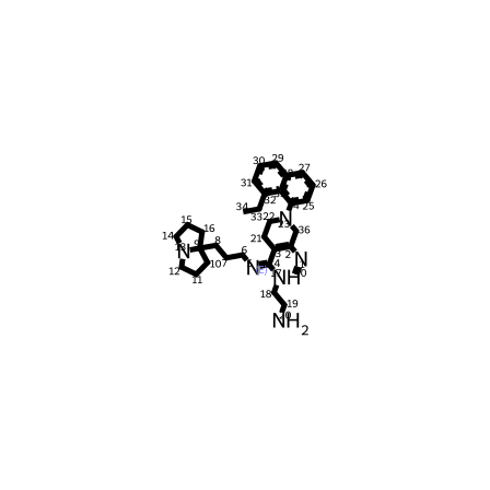 C=NC1=C(/C(=N\CCCC23CCCN2CCC3)NCCN)CCN(c2cccc3cccc(CC)c23)C1